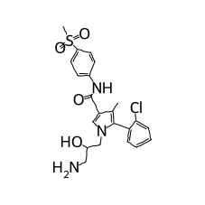 Cc1c(C(=O)Nc2ccc(S(C)(=O)=O)cc2)cn(CC(O)CN)c1-c1ccccc1Cl